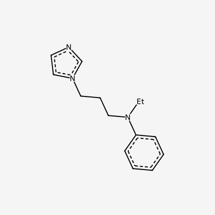 CCN(CCCn1ccnc1)c1ccccc1